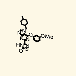 COc1cccc(Oc2nc(-c3noc(=O)[nH]3)nc3ncn(CC4CCC(C)CC4)c23)c1